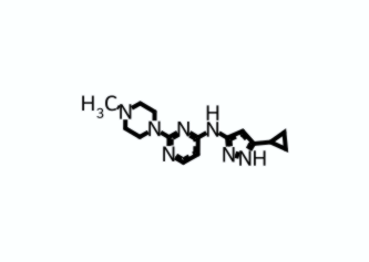 CN1CCN(c2nccc(Nc3cc(C4CC4)[nH]n3)n2)CC1